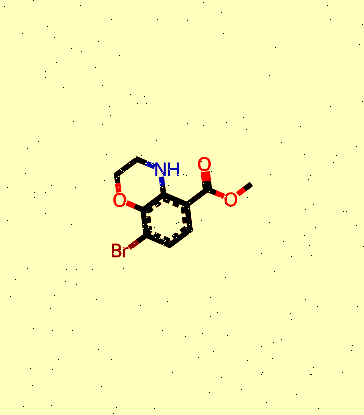 COC(=O)c1ccc(Br)c2c1NCCO2